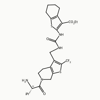 CCOC(=O)c1c(NC(=O)NCc2c(C(F)(F)F)sc3c2CCN(C(=O)[C@@H](N)C(C)C)C3)sc2c1CCCC2